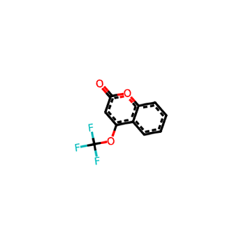 O=c1cc(OC(F)(F)F)c2ccccc2o1